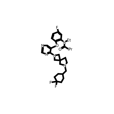 CCN(C(=O)C(C)C)c1cc(F)ccc1Oc1cncnc1N1CC2(CCN(CC3CCC(F)(F)CC3)C2)C1